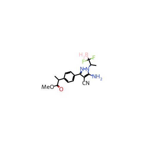 BC(F)(F)C(C)n1nc(-c2ccc(C(C)C(=O)OC)cc2)c(C#N)c1N